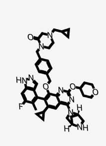 Cc1c(F)cc2[nH]ncc2c1-c1c(C2CC2)cc2c(N3C[C@@H]4C[C@H]3CN4)nc(OC3CCOCC3)nc2c1OCc1ccc(CN2CCN(CC3CC3)CC2=O)cc1